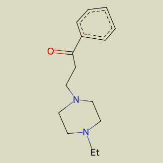 CCN1CCN(CCC(=O)c2ccccc2)CC1